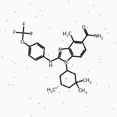 Cc1c(C(N)=O)ccc2c1nc(Nc1ccc(OC(F)(F)F)cc1)n2C1C[C@@H](C)CC(C)(C)C1